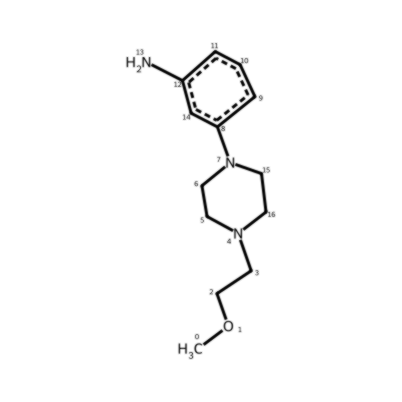 COCCN1CCN(c2cccc(N)c2)CC1